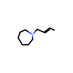 CC=CCN1CCCCCC1